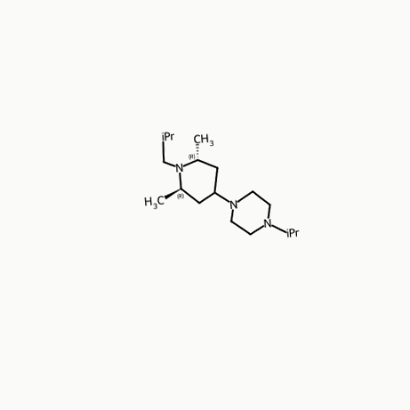 CC(C)CN1[C@H](C)CC(N2CCN(C(C)C)CC2)C[C@H]1C